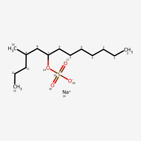 CCCCCCCC(CC(C)CCC)OS(=O)(=O)[O-].[Na+]